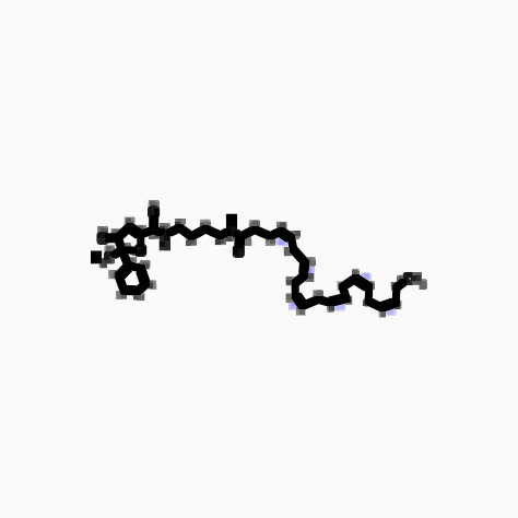 CC/C=C\C/C=C\C/C=C\C/C=C\C/C=C\C/C=C\CCC(=O)NCCCCNC(=O)C1=CC(=O)C(C)(c2ccccc2)O1